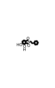 O=C1c2ccc(O)c(O)c2C(=O)N1CCc1ccccc1